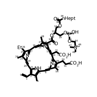 C=Cc1c(C)c2cc3nc(c(CC(=O)O)c4[nH]c(cc5nc(cc1[nH]2)C(C)=C5CC)c(C)c4C(=O)OC(COC(=O)CCCCCCC)COP(O)OC[N+](C)(C)C)C(CCC(=O)O)=C3C